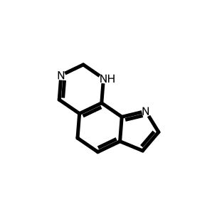 C1=CC2=CCC3=C(NCN=C3)C2=N1